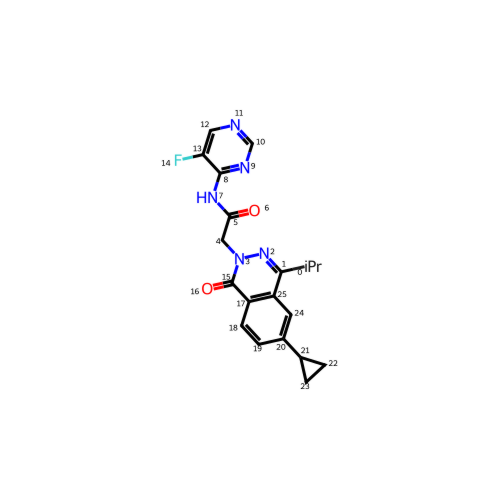 CC(C)c1nn(CC(=O)Nc2ncncc2F)c(=O)c2ccc(C3CC3)cc12